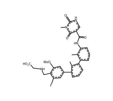 COc1cc(-c2cccc(-c3cccc(NC(=O)c4c[nH]c(=O)n(C)c4=O)c3C)c2C)cc(F)c1CNCC(=O)O